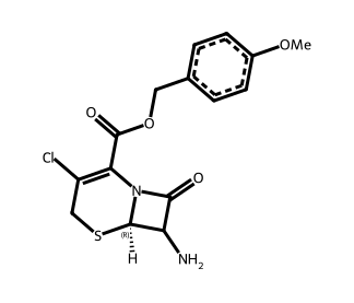 COc1ccc(COC(=O)C2=C(Cl)CS[C@@H]3C(N)C(=O)N23)cc1